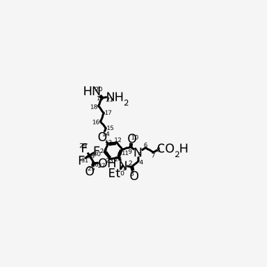 CCN1C(=O)CN(CCC(=O)O)C(=O)c2cc(OCCCCC(=N)N)ccc21.O=C(O)C(F)(F)F